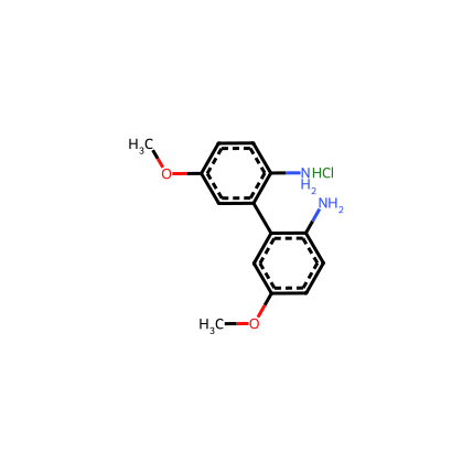 COc1ccc(N)c(-c2cc(OC)ccc2N)c1.Cl